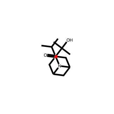 CC(C)N1CC2CC(C1)N2C(=O)C(C)(C)O